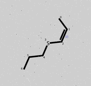 C/C=C\SCCC